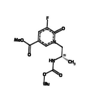 COC(=O)c1cc(F)c(=O)n(C[C@H](C)NC(=O)OC(C)(C)C)c1